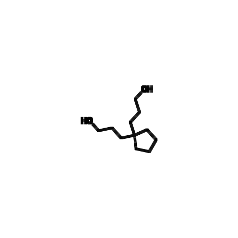 OCCCC1(CCCO)CCCC1